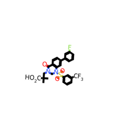 CC(C)(CN1CN(S(=O)(=O)c2cccc(C(F)(F)F)c2)c2cc(-c3cccc(F)c3)ccc2C1=O)C(=O)O